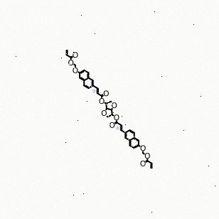 C=CC(=O)OCOc1ccc2cc(/C=C/C(=O)OC3COC4C(OC(=O)/C=C/c5ccc6cc(OCOC(=O)C=C)ccc6c5)COC34)ccc2c1